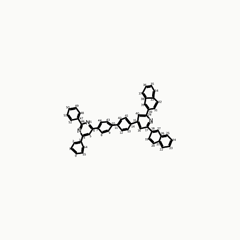 c1ccc(-c2cc(-c3ccc(-c4ccc(-c5cc(-c6ccc7ccccc7c6)nc(-c6ccc7ccccc7c6)c5)cc4)cc3)nc(-c3ccccc3)n2)cc1